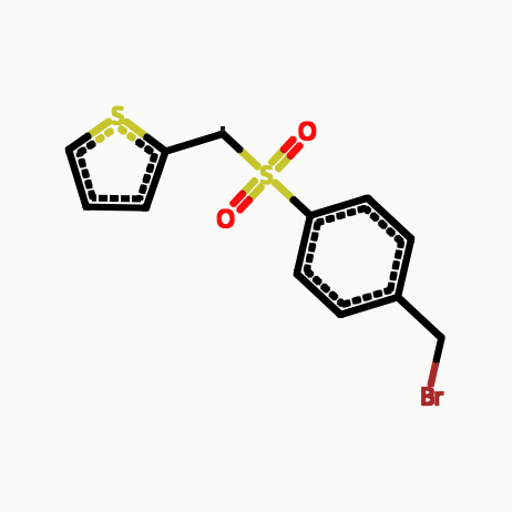 O=S(=O)([CH]c1cccs1)c1ccc(CBr)cc1